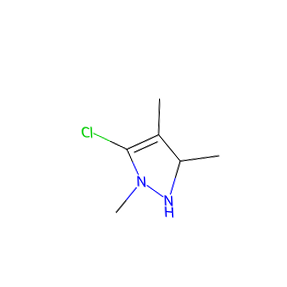 CC1=C(Cl)N(C)NC1C